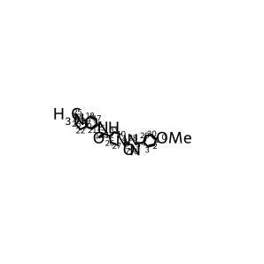 COc1ccc(-c2noc(N3CCC(C(=O)Nc4ccc5c(c4)CCN5C)CC3)n2)cc1